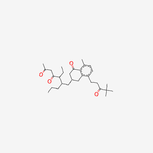 CCCC(CC1CC(=O)c2c(C)ccc(CCC(=O)C(C)(C)C)c2C1)C(CC)C(=O)CC(C)=O